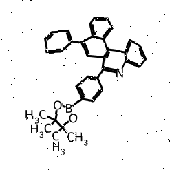 CC1(C)OB(c2ccc(-c3nc4ccccc4c4c3cc(-c3ccccc3)c3ccccc34)cc2)OC1(C)C